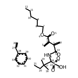 C=C(C(=C)C(=O)OCCCCCC)C(=O)NC(C(C)(C)CC)S(=O)(=O)O.C=Cc1ccccc1